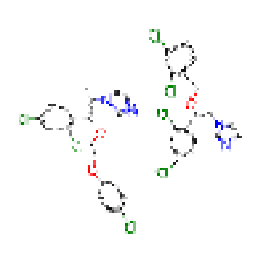 C/C(=C(/OCCOc1ccc(Cl)cc1)c1ccc(Cl)cc1Cl)n1ccnc1.Clc1ccc(COC(Cn2ccnc2)c2ccc(Cl)cc2Cl)c(Cl)c1